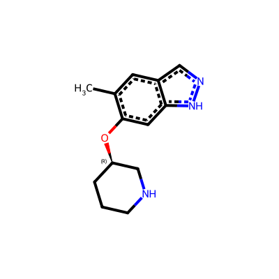 Cc1cc2cn[nH]c2cc1O[C@@H]1CCCNC1